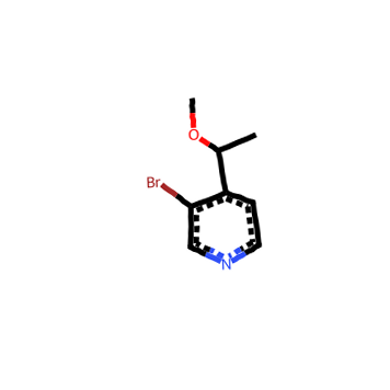 COC(C)c1ccncc1Br